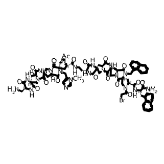 CC(=O)N1C[C@@]2(C[C@H]1C(=O)NCC[C@H]1NC(=O)[C@@]3(CC4C(=O)N[C@]5(CC6C(=O)N(Cc7cccc8ccccc78)[C@]7(C[C@@H](C(=O)N[C@@H](Cc8cccc9ccccc89)C(N)=O)N(C(=O)CBr)C7)C(=O)N6C5)C(=O)N4C3)NC1=O)C(=O)N1C[C@]3(C[C@H]1C(=O)N2Cc1cncn1C)NC(=O)[C@@H]1C[C@@]2(CN1C3=O)NC(=O)[C@H](CN)NC2=O